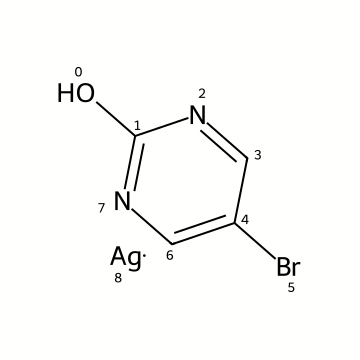 Oc1ncc(Br)cn1.[Ag]